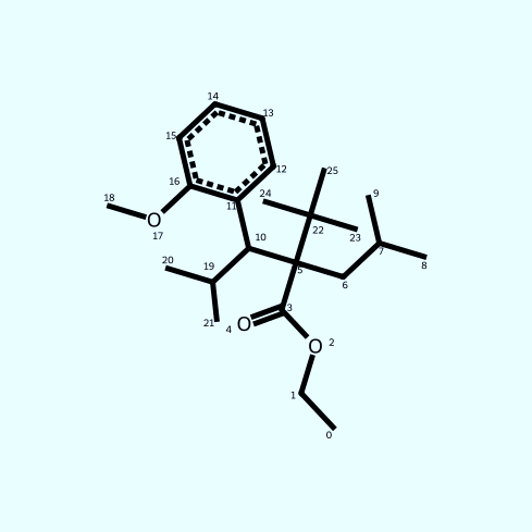 CCOC(=O)C(CC(C)C)(C(c1ccccc1OC)C(C)C)C(C)(C)C